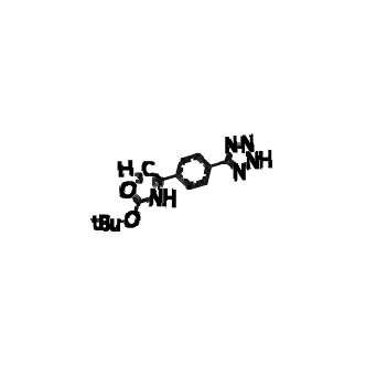 C[C@H](NC(=O)OC(C)(C)C)c1ccc(-c2nn[nH]n2)cc1